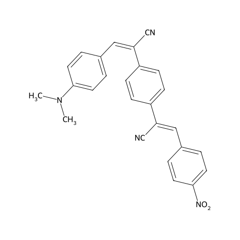 CN(C)c1ccc(C=C(C#N)c2ccc(C(C#N)=Cc3ccc([N+](=O)[O-])cc3)cc2)cc1